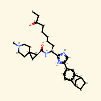 CCC(=O)CCCCC[C@H](NC(=O)[C@H]1CC12CCN(C)CC2)c1ncc(-c2ccc3c(c2)C2CCC3C2)[nH]1